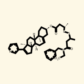 CC(CC(=O)N(CC(=O)O)Cc1ccccc1)SS[C@@H](C)CC(=O)O[C@H]1CC[C@@]2(C)C(=CC[C@@H]3[C@@H]2CC[C@]2(C)C(c4cccnc4)=CC[C@@H]32)C1